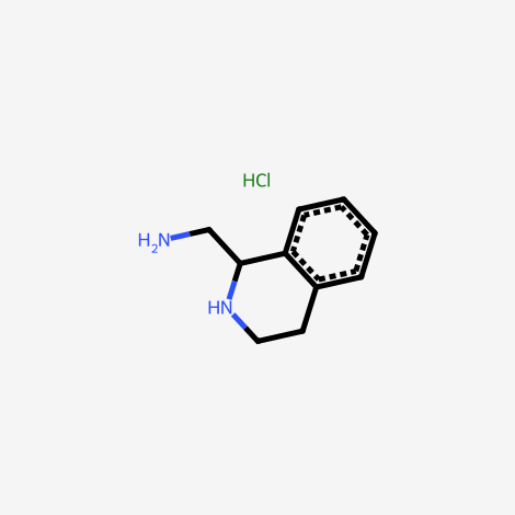 Cl.NCC1NCCc2ccccc21